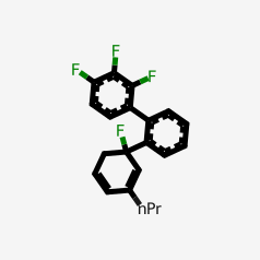 CCCC1=CC(F)(c2ccccc2-c2ccc(F)c(F)c2F)CC=C1